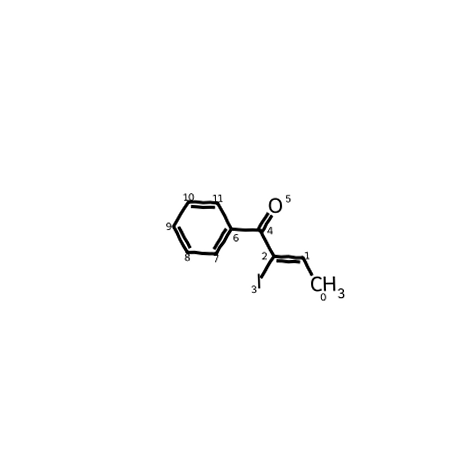 C/C=C(\I)C(=O)c1ccccc1